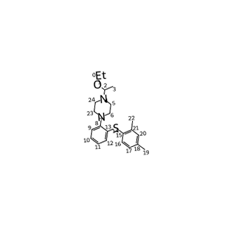 CCOC(C)N1CCN(c2ccccc2Sc2ccc(C)cc2C)CC1